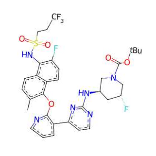 Cc1ccc2c(NS(=O)(=O)CCC(F)(F)F)c(F)ccc2c1Oc1ncccc1-c1ccnc(N[C@@H]2C[C@@H](F)CN(C(=O)OC(C)(C)C)C2)n1